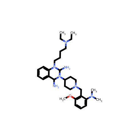 CCN(CC)CCCCN1c2ccccc2C(N)N(C2CCN(Cc3c(OC)cccc3N(C)C)CC2)C1N